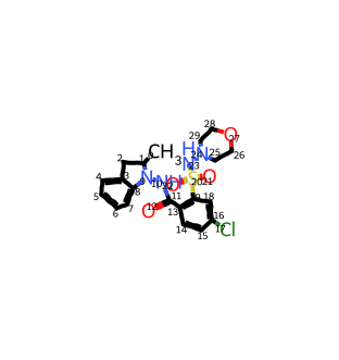 CC1Cc2ccccc2N1NC(=O)c1ccc(Cl)cc1S(=O)(=O)NN1CCOCC1